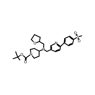 CC(C)(C)OC(=O)N1CCC(N(Cc2ccc(-c3ccc(S(C)(=O)=O)cc3)nc2)CC2CCCO2)CC1